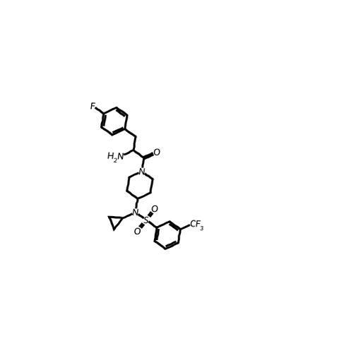 NC(Cc1ccc(F)cc1)C(=O)N1CCC(N(C2CC2)S(=O)(=O)c2cccc(C(F)(F)F)c2)CC1